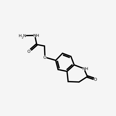 NNC(=O)COc1ccc2c(c1)CCC(=O)N2